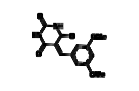 COc1cc(C=C2C(=O)NC(=O)NC2=O)cc(OC)c1